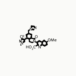 COc1ccc2nc(C(=O)O)c(N3CCc4c(cc(Cn5ccnc5)cc4-c4cn(C)nc4C(F)(F)F)C3=O)cc2c1